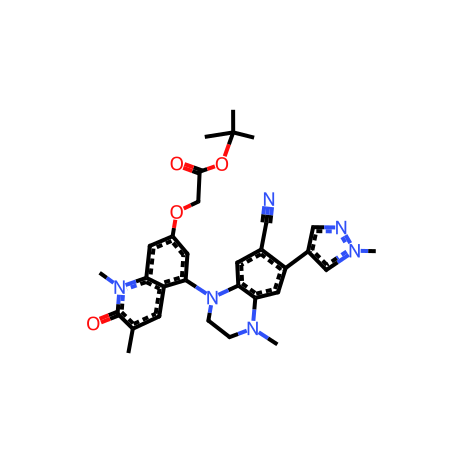 Cc1cc2c(N3CCN(C)c4cc(-c5cnn(C)c5)c(C#N)cc43)cc(OCC(=O)OC(C)(C)C)cc2n(C)c1=O